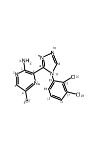 Nc1ncc(Br)nc1-c1nncn1-c1cccc(Cl)c1Cl